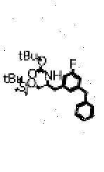 CC(C)(C)OC(=O)N[C@H](CO[Si](C)(C)C(C)(C)C)Cc1cc(F)cc(Cc2ccccc2)c1